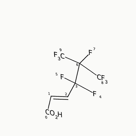 O=C(O)C=CC(F)(F)C(F)(C(F)(F)F)C(F)(F)F